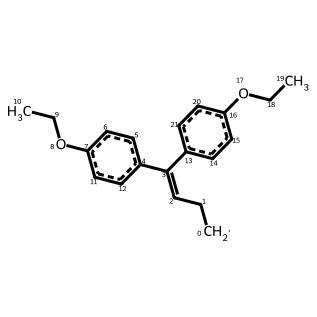 [CH2]CC=C(c1ccc(OCC)cc1)c1ccc(OCC)cc1